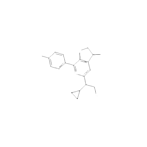 CC1COc2c1cc(C(CN)C1CC1)nc2-c1ccc(F)cc1